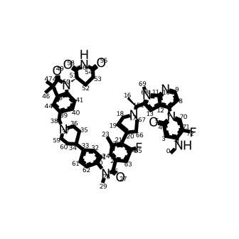 CNc1cc(=O)n(-c2ccnc3c2cc([C@H](C)N2CC=C(c4c(C)cc(C(=O)N(C)c5ccc(C6CCN(Cc7ccc8c(c7)C(C)(C)C(=O)N8[C@H]7CCC(=O)NC7=O)CC6)cc5)cc4F)CC2)n3C)cc1F